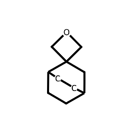 C1CC2CCC1CC21COC1